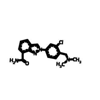 CN(C)Cc1ccc(-n2cc3cccc(C(N)=O)c3n2)cc1Cl